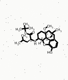 CO[C@@]12CCC(N[C@@H](CC(C)C)C(=O)OC(C)(C)C)[C@@H]3Oc4c(O)ccc5c4[C@@]31CCN(C)C2C5